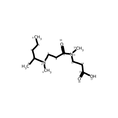 CCCC(C)N(C)CCC(=O)N(C)CCC(=O)O